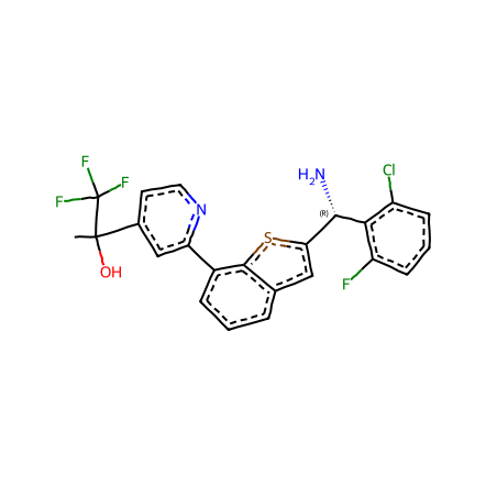 CC(O)(c1ccnc(-c2cccc3cc([C@H](N)c4c(F)cccc4Cl)sc23)c1)C(F)(F)F